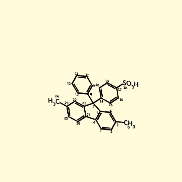 Cc1ccc2c(c1)C(c1ccccc1)(c1ccc(S(=O)(=O)O)cc1)c1cc(C)ccc1-2